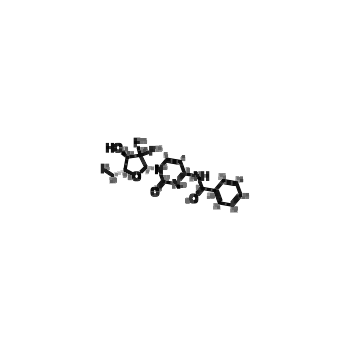 O=C(Nc1ccn([C@@H]2O[C@H](CI)[C@@H](O)C2(F)F)c(=O)n1)c1ccccc1